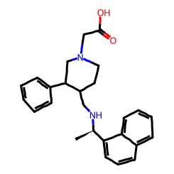 C[C@@H](NCC1CCN(CC(=O)O)CC1c1ccccc1)c1cccc2ccccc12